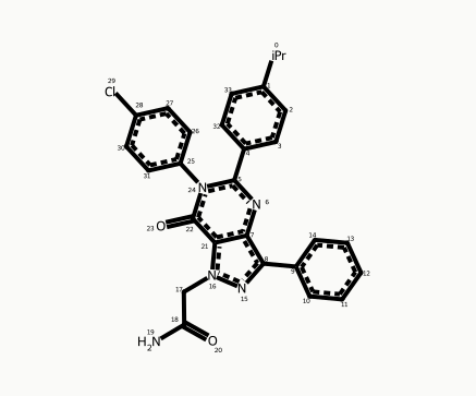 CC(C)c1ccc(-c2nc3c(-c4ccccc4)nn(CC(N)=O)c3c(=O)n2-c2ccc(Cl)cc2)cc1